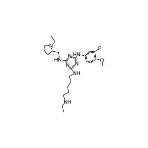 CCNCCCCCNc1nc(NCC2CCCN2CC)nc(Nc2ccc(OC)c(F)c2)n1